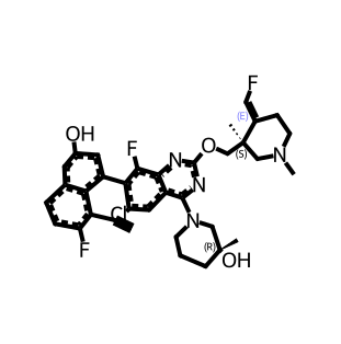 C#Cc1c(F)ccc2cc(O)cc(-c3c(Cl)cc4c(N5CCC[C@@](C)(O)C5)nc(OC[C@]5(C)CN(C)CC/C5=C\F)nc4c3F)c12